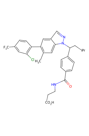 Cc1cc2c(cnn2C(CC(C)C)c2ccc(C(=O)NCCC(=O)O)cc2)cc1-c1ccc(C(F)(F)F)cc1Cl